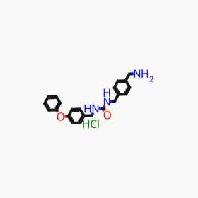 Cl.NCc1ccc(CNC(=O)NCc2ccc(Oc3ccccc3)cc2)cc1